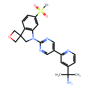 CCS(=O)(=O)c1ccc2c(c1)N(c1ncc(-c3cc(C(C)(C)N)ccn3)cn1)CC21COC1